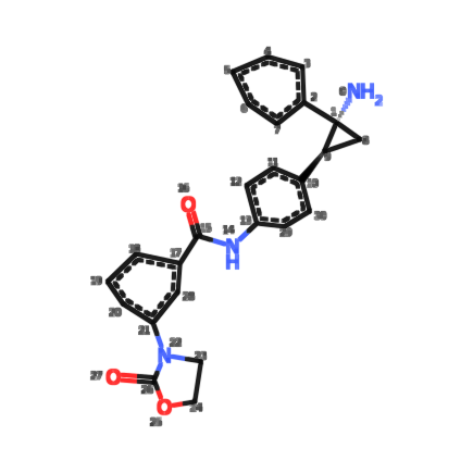 N[C@]1(c2ccccc2)C[C@H]1c1ccc(NC(=O)c2cccc(N3CCOC3=O)c2)cc1